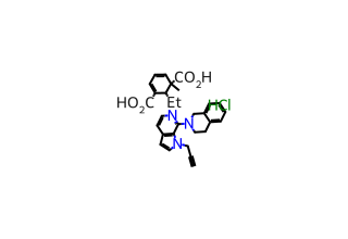 C#CCn1ccc2ccnc(N3CCc4ccccc4C3)c21.CCC1C(C(=O)O)=CC=CC1(C)C(=O)O.Cl